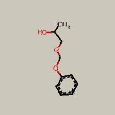 CC(O)COCOc1cc[c]cc1